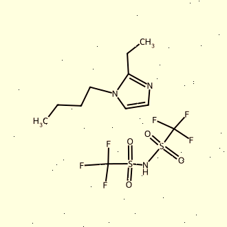 CCCCn1ccnc1CC.O=S(=O)(NS(=O)(=O)C(F)(F)F)C(F)(F)F